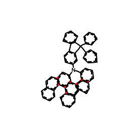 c1ccc(-c2ccccc2-c2cccc(N(c3ccc4c(c3)C(c3ccccc3)(c3ccccc3)c3ccccc3-4)c3ccccc3-c3cccc(-c4cccc5ccccc45)c3)c2)cc1